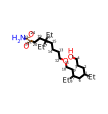 CCC(CCCO)CC(CC)CCOCCCCC(CC)(CC)CCS(N)(=O)=O